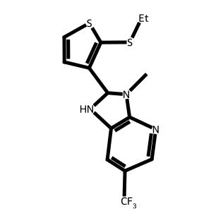 CCSc1sccc1C1Nc2cc(C(F)(F)F)cnc2N1C